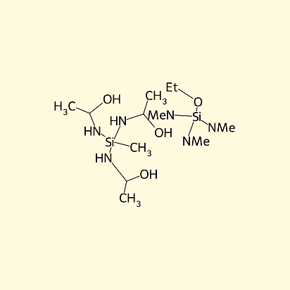 CC(O)N[Si](C)(NC(C)O)NC(C)O.CCO[Si](NC)(NC)NC